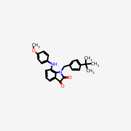 COc1ccc(Nc2cccc3c2N(Cc2ccc(C(C)(C)C)cc2)C(=O)C3=O)cc1